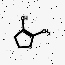 CC1=C(O)CCS1